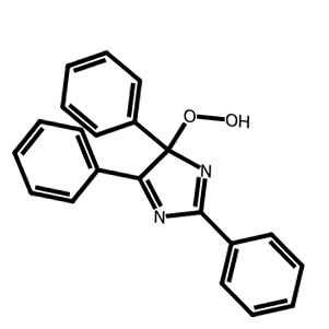 OOC1(c2ccccc2)N=C(c2ccccc2)N=C1c1ccccc1